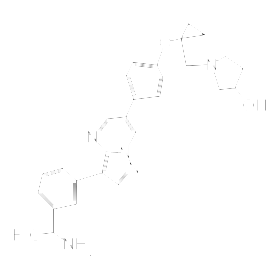 NC(c1cccc(-c2cnn3cc(-c4ccc(OC5(CN6CCC(O)C6)CC5)cc4)cnc23)c1)C(F)(F)F